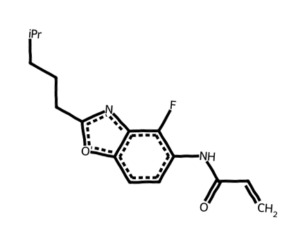 C=CC(=O)Nc1ccc2oc(CCCC(C)C)nc2c1F